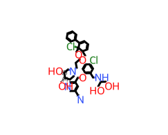 CC1(Cl)C(c2ccccc2)=CC=CC1(COc1cc(OCc2cncc(C#N)c2)c(CNC(CO)CO)cc1Cl)OCCCN1CC[C@H](CO)[C@H](O)C1